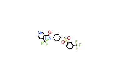 O=C(N[C@H]1CC[C@H](CS(=O)(=O)c2cccc(C(F)(F)F)c2)CC1)c1cnccc1C(F)(F)F